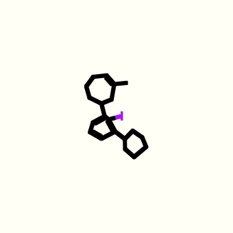 CC1=CCCCC(c2cccc(C3CCCCC3)c2I)C1